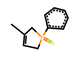 CC1=CCP(=S)(c2ccccc2)C1